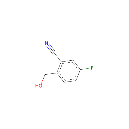 N#Cc1cc(F)ccc1CO